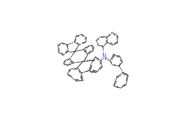 c1ccc(-c2cccc(N(c3ccc4c(c3)C3(c5ccccc5-4)c4ccccc4C4(c5ccccc5-c5ccccc54)c4ccccc43)c3cccc4ccccc34)c2)cc1